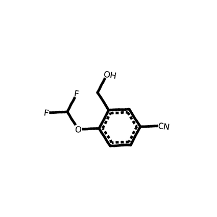 N#Cc1ccc(OC(F)F)c(CO)c1